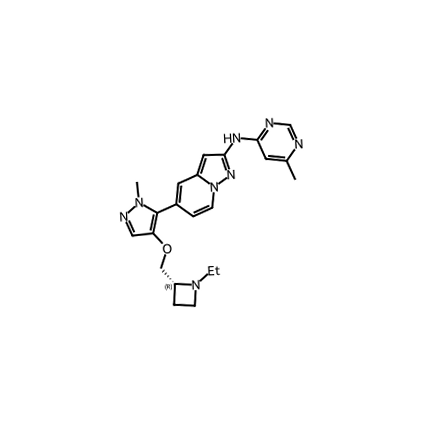 CCN1CC[C@@H]1COc1cnn(C)c1-c1ccn2nc(Nc3cc(C)ncn3)cc2c1